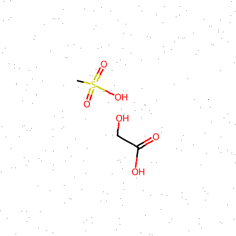 CS(=O)(=O)O.O=C(O)CO